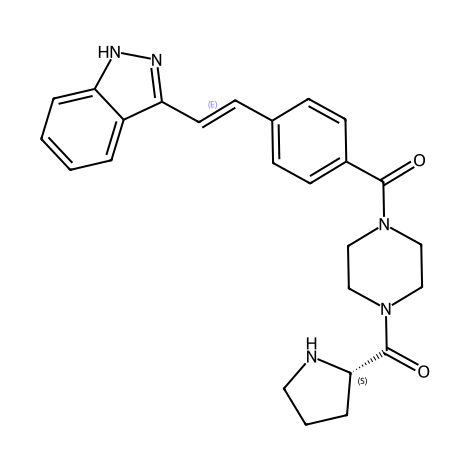 O=C(c1ccc(/C=C/c2n[nH]c3ccccc23)cc1)N1CCN(C(=O)[C@@H]2CCCN2)CC1